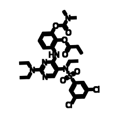 CCC(=O)Oc1c(Nc2nc(N(CC)CC)ncc2N(CC)S(=O)(=O)c2cc(Cl)cc(Cl)c2)cccc1OC(=O)N(C)C